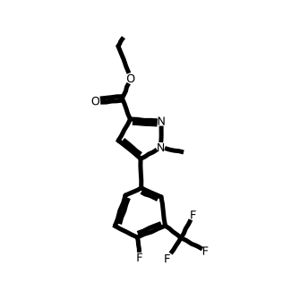 CCOC(=O)c1cc(-c2ccc(F)c(C(F)(F)F)c2)n(C)n1